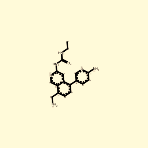 CCNC(=O)Nc1cc2c(-c3ccc(N)nc3)ccc(CN)c2cn1